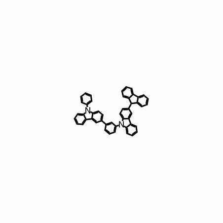 c1ccc(-n2c3ccccc3c3cc(-c4cccc(-n5c6ccccc6c6cc(C7c8ccccc8-c8ccccc87)ccc65)c4)ccc32)cc1